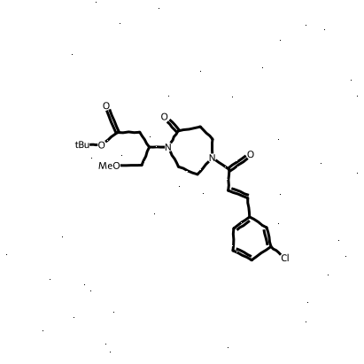 COCC(CC(=O)OC(C)(C)C)N1CCN(C(=O)C=Cc2cccc(Cl)c2)CCC1=O